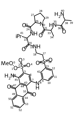 COOS(=O)(=O)c1cc(Nc2cccc(S(=O)(=O)CCNC(=O)C(NC(=O)C3CCCN3C(=O)C(C)NC(=O)C(C)N)C(C)C)c2)c2c(c1N)C(=O)c1ccccc1C2=O